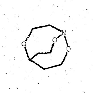 C1CN2OCCC(CCO2)O1